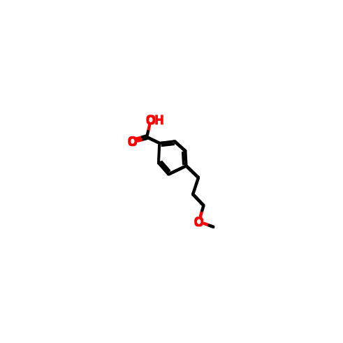 COCCCc1ccc(C(=O)O)cc1